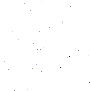 CCOC(=O)c1cn(C2CC=CC=N2)nc1C(F)(F)F